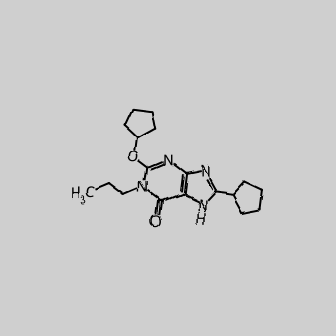 CCCn1c(OC2CCCC2)nc2nc(C3CCCC3)[nH]c2c1=O